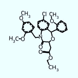 CCOC(=O)CC1OC(c2ccccc2OC)c2cc(Cl)ccc2N(Cc2ccc(OC)cc2OC)C1=O